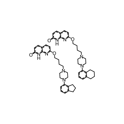 O=c1ccc2ccc(OCCCCN3CCN(c4cccc5c4CCC5)CC3)nc2[nH]1.O=c1ccc2ccc(OCCCCN3CCN(c4cccc5c4CCCC5)CC3)nc2[nH]1